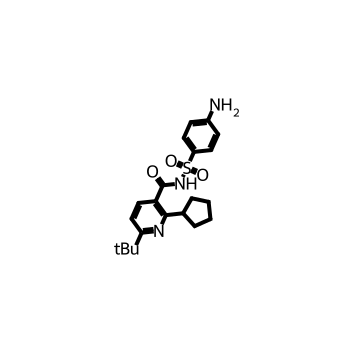 CC(C)(C)c1ccc(C(=O)NS(=O)(=O)c2ccc(N)cc2)c(C2CCCC2)n1